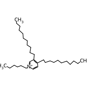 CCCCCCCCCCCc1cc[n+](CCCCCC)cc1CCCCCCCCCCC